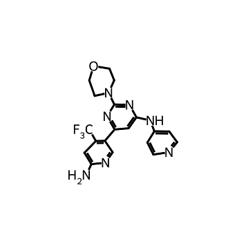 Nc1cc(C(F)(F)F)c(-c2cc(Nc3ccncc3)nc(N3CCOCC3)n2)cn1